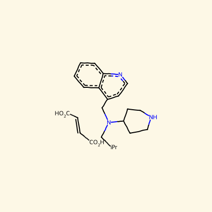 CC(C)CN(Cc1ccnc2ccccc12)C1CCNCC1.O=C(O)C=CC(=O)O